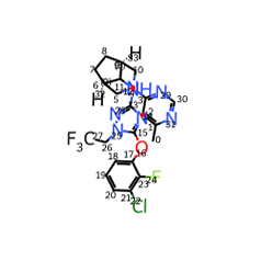 Cc1cc(N2C[C@H]3CC[C@@H](C2)C3Nc2nc(Oc3cccc(Cl)c3F)n(CC(F)(F)F)n2)ncn1